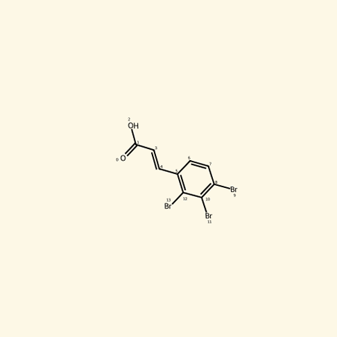 O=C(O)C=Cc1ccc(Br)c(Br)c1Br